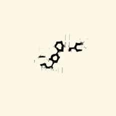 Cc1ccc(NC(=O)c2ccnc(C(F)(F)F)c2)cc1-c1ccc2c(c1)N1CCOC[C@@H]1C[C@@H]2O